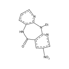 CCN1c2ncccc2NC(=O)c2cc([N+](=O)[O-])cnc21